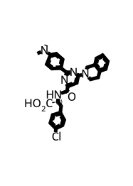 CN(C)c1ccc(-c2nc(C(=O)N[C@H](Cc3ccc(Cl)cc3)C(=O)O)cc(N3CCc4ccccc4C3)n2)cc1